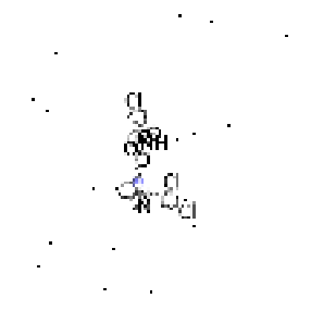 O=C(NS(=O)(=O)c1ccc(Cl)cc1)OC/C=C1\CCCc2cnn(Cc3ccc(Cl)cc3Cl)c21